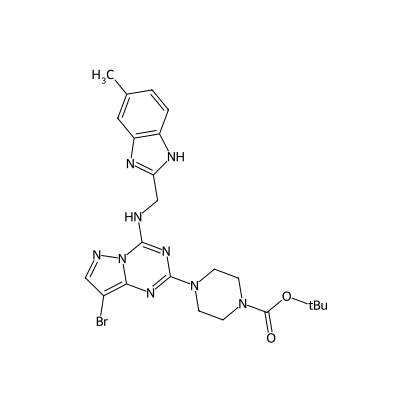 Cc1ccc2[nH]c(CNc3nc(N4CCN(C(=O)OC(C)(C)C)CC4)nc4c(Br)cnn34)nc2c1